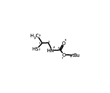 CC(S)CNC(=O)OC(C)(C)C